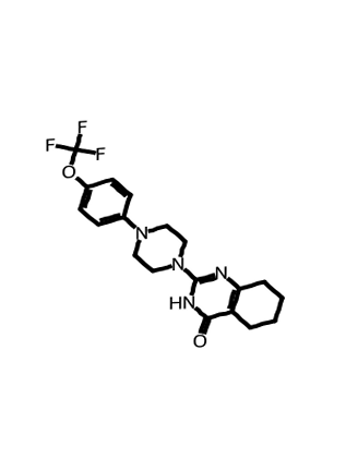 O=c1[nH]c(N2CCN(c3ccc(OC(F)(F)F)cc3)CC2)nc2c1CCCC2